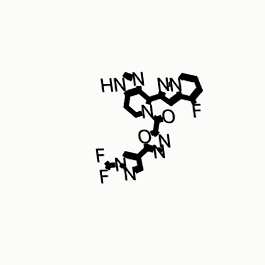 O=C(c1nnc(-c2cnn(C(F)F)c2)o1)N1CCc2[nH]cnc2C1c1cc2c(F)cccn2n1